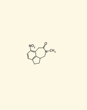 CN1CC2CCc3ccc([N+](=O)[O-])c(c32)CC1=O